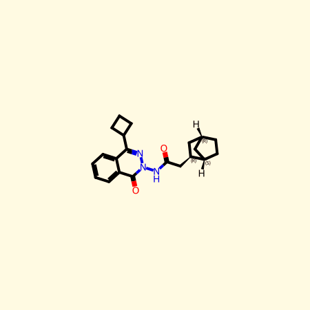 O=C(C[C@H]1C[C@@H]2CC[C@H]1C2)Nn1nc(C2CCC2)c2ccccc2c1=O